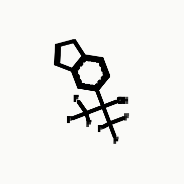 OC(c1ccc2c(c1)C=CC2)(C(F)(F)F)C(F)(F)F